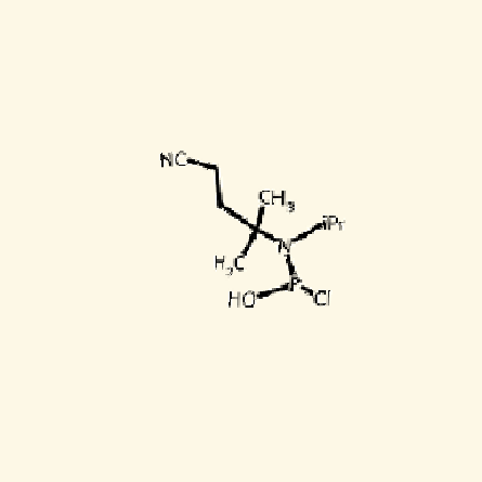 CC(C)N(P(O)Cl)C(C)(C)CCC#N